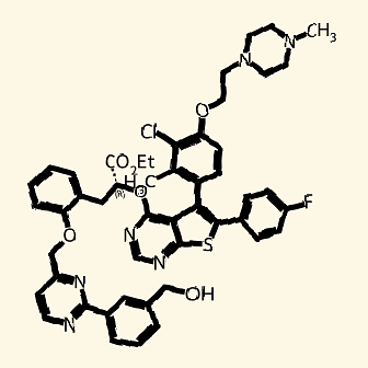 CCOC(=O)[C@@H](Cc1ccccc1OCc1ccnc(-c2cccc(CO)c2)n1)Oc1ncnc2sc(-c3ccc(F)cc3)c(-c3ccc(OCCN4CCN(C)CC4)c(Cl)c3C)c12